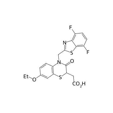 CCOc1ccc2c(c1)SC(CC(=O)O)C(=O)N2Cc1nc2c(F)ccc(F)c2s1